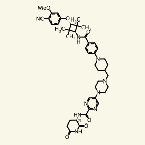 COc1cc(O[C@H]2C(C)(C)[C@H](NC(=O)c3ccc(N4CCC(CN5CCN(c6cnc(C(=O)N[C@H]7CCC(=O)NC7=O)nc6)CC5)CC4)cc3)C2(C)C)ccc1C#N